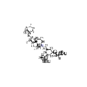 C[C@H](CCN1CCCC[C@@H]1C)[C@H]1CC[C@H]2/C(=C/C=C3CC(O[Si](C)(C)C(C)(C)C)CC(O[Si](C)(C)C(C)(C)C)C3)CCC[C@]12C